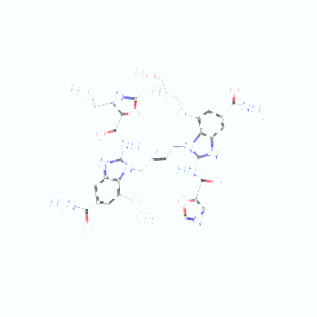 CCc1nc(C)oc1C(=O)Nc1nc2cc(C(N)=O)cc(OC)c2n1C/C=C/Cn1c(NC(=O)c2cnco2)nc2cc(C(N)=O)cc(OCCCO)c21